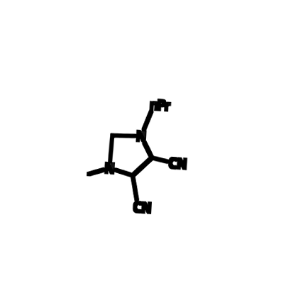 CCCN1CN(C)C(C#N)C1C#N